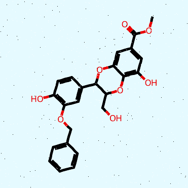 COC(=O)c1cc(O)c2c(c1)OC(c1ccc(O)c(OCc3ccccc3)c1)C(CO)O2